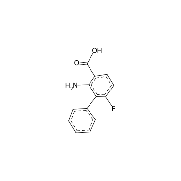 Nc1c(C(=O)O)ccc(F)c1-c1ccccc1